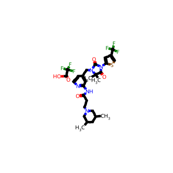 CC1CC(C)CN(CCC(=O)Nc2cc(CN3C(=O)N(c4cc(C(F)(F)F)cs4)C(=O)C3(C)C)ccn2)C1.O=C(O)C(F)(F)F